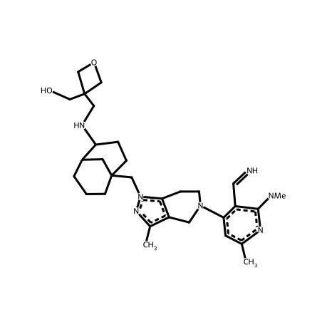 CNc1nc(C)cc(N2CCc3c(c(C)nn3CC34CCCC(C3)C(NCC3(CO)COC3)CC4)C2)c1C=N